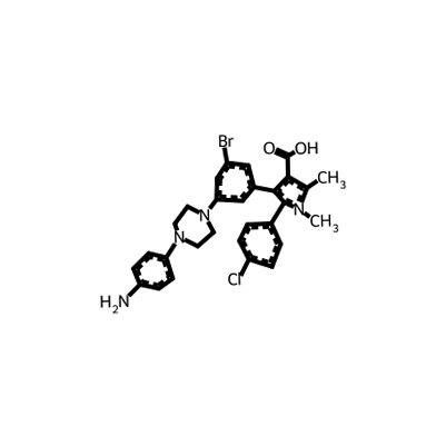 Cc1c(C(=O)O)c(-c2cc(Br)cc(N3CCN(c4ccc(N)cc4)CC3)c2)c(-c2ccc(Cl)cc2)n1C